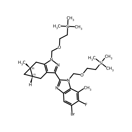 Cc1c(F)c(Br)cc2nc(-c3nn(COCC[Si](C)(C)C)c4c3C[C@@H]3C[C@]3(C)C4)n(COCC[Si](C)(C)C)c12